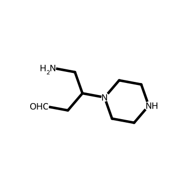 NCC(CC=O)N1CCNCC1